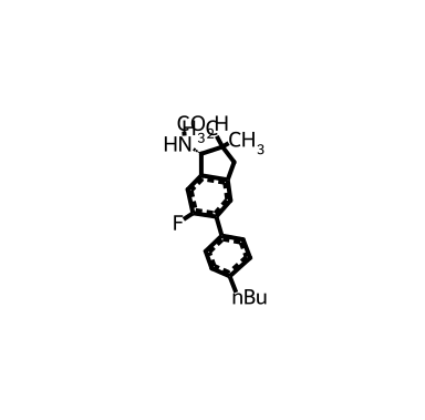 CCCCc1ccc(-c2cc3c(cc2F)[C@H](NC(=O)O)C(C)(C)C3)cc1